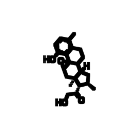 Cc1ccc(O)c2c1CCC1[C@@H]3C[C@@H](C)[C@H](C(=O)CO)[C@@]3(C)CC3OC231